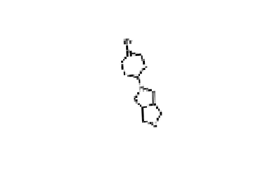 CC(C)N1CCC(N2CC3COCC3C2)CC1